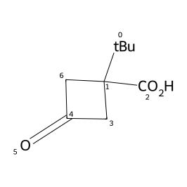 CC(C)(C)C1(C(=O)O)CC(=O)C1